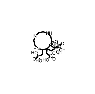 O=P(O)(O)CC1NCCNCCNCCN(CP(=O)(O)O)C1(CP(=O)(O)O)CP(=O)(O)O